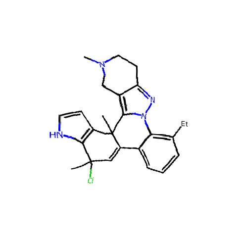 CCc1cccc2c1-n1nc3c(c1C1(C)C2=CC(C)(Cl)c2[nH]ccc21)CN(C)CC3